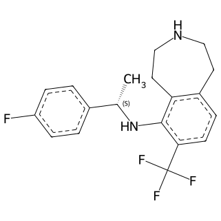 C[C@H](Nc1c(C(F)(F)F)ccc2c1CCNCC2)c1ccc(F)cc1